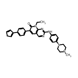 CCn1c(=O)c(-c2ccc(C3=CCC=C3)cc2)cc2cnc(Nc3ccc(N4CCN(C)CC4)cc3)nc21